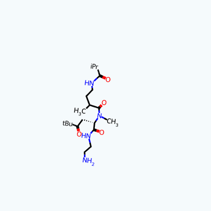 CC(C)C(=O)NCCC(C)C(=O)N(C)[C@@H](CC(=O)C(C)(C)C)C(=O)NCCN